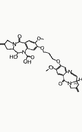 C=C1CC2C(O)N(C(=O)O)c3cc(OCCCOc4cc5c(cc4OC)C(=O)N4CC(=C)C[C@H]4C=N5)c(OC)cc3C(=O)N2C1